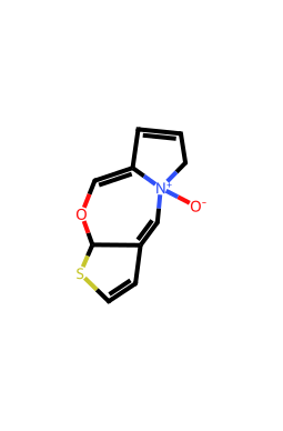 [O-][N+]12C=C3C=CSC3OC=C1C=CC2